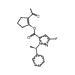 CC(=O)C1=C(OC(=O)c2cc(F)nn2[C@H](C)c2ccccc2)CCC1